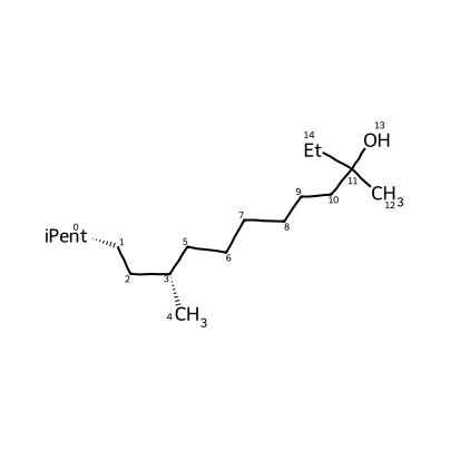 CCC[C@@H](C)CC[C@@H](C)CCCCCCC(C)(O)CC